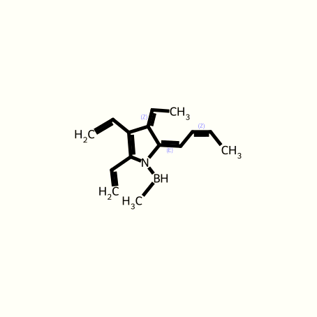 C=Cc1c(C=C)n(BC)c(=C/C=C\C)/c1=C\C